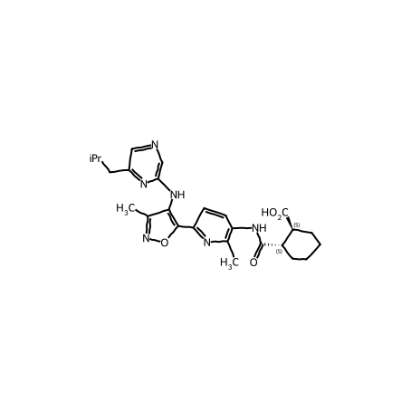 Cc1nc(-c2onc(C)c2Nc2cncc(CC(C)C)n2)ccc1NC(=O)[C@H]1CCCC[C@@H]1C(=O)O